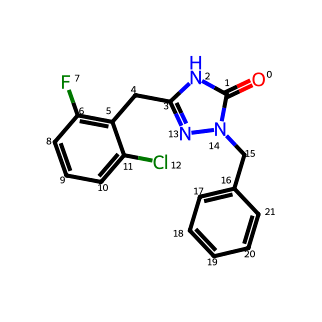 O=c1[nH]c(Cc2c(F)cccc2Cl)nn1Cc1ccccc1